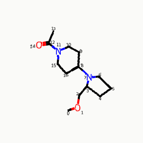 COCC1CCCN1C1CCN(C(C)=O)CC1